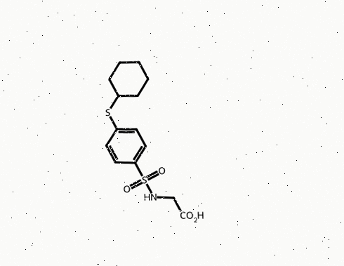 O=C(O)CNS(=O)(=O)c1ccc(SC2CCCCC2)cc1